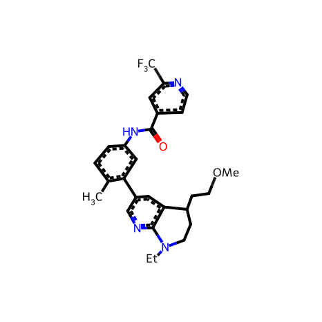 CCN1CCC(CCOC)c2cc(-c3cc(NC(=O)c4ccnc(C(F)(F)F)c4)ccc3C)cnc21